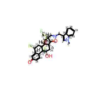 Cn1cc(CN2C[C@@H]3C[C@H]4[C@@H]5C[C@H](F)C6=CC(=O)C=C[C@]6(C)[C@@]5(F)[C@@H](O)C[C@]4(C)[C@]3(C(=O)SCF)O2)c2ccccc21